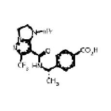 CCCN1CCn2nc(C(F)(F)F)c(C(=O)N[C@@H](C)c3ccc(C(=O)O)cc3)c21